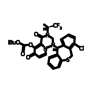 CC(C)COC(=O)Oc1c2n(ccc1=O)N([C@@H]1c3ccccc3SCc3c(Cl)cccc31)CN([C@H](C)C(F)(F)F)C2=O